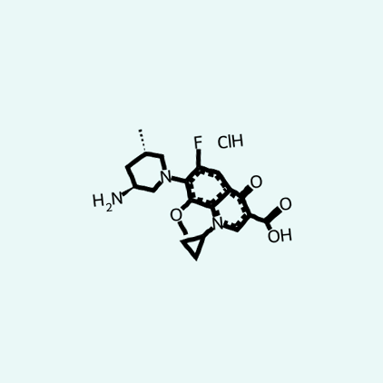 COc1c(N2C[C@@H](C)C[C@H](N)C2)c(F)cc2c(=O)c(C(=O)O)cn(C3CC3)c12.Cl